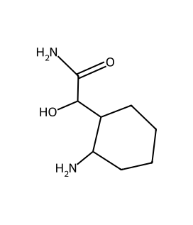 NC(=O)C(O)C1CCCCC1N